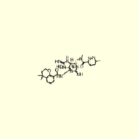 Cc1ccc(C(=O)N(C)C[C@@H]2NC(=N)N3CC(NC(=O)c4cccc5c4OCCC5(C)C)[C@@H](O)C34NC(=N)N[C@@H]24)nn1